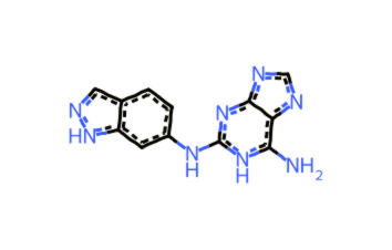 Nc1[nH]c(Nc2ccc3cn[nH]c3c2)nc2ncnc1-2